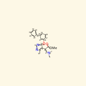 COC(=O)C(=CN(C)C)c1c(C)ncnc1Oc1cccc(-c2ccccc2)c1